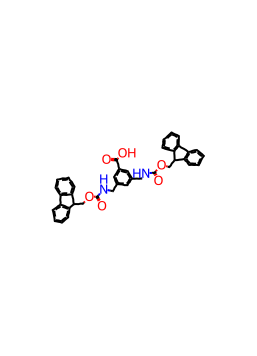 O=C(NCc1cc(CNC(=O)OCC2c3ccccc3-c3ccccc32)cc(C(=O)O)c1)OCC1c2ccccc2-c2ccccc21